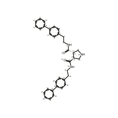 O=C(NCCc1ccc(-c2ccccc2)cc1)[C@@H]1CNC[C@H]1C(=O)NCCc1ccc(-c2ccccc2)cc1